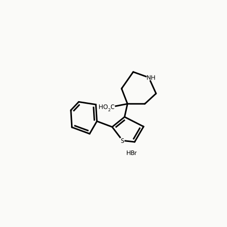 Br.O=C(O)C1(c2ccsc2-c2ccccc2)CCNCC1